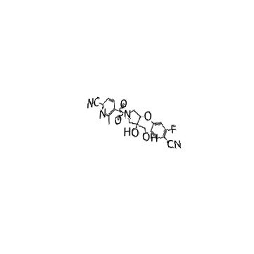 Cc1nc(C#N)ccc1S(=O)(=O)N1C[C@H](Oc2ccc(C#N)c(F)c2)[C@](O)(CO)C1